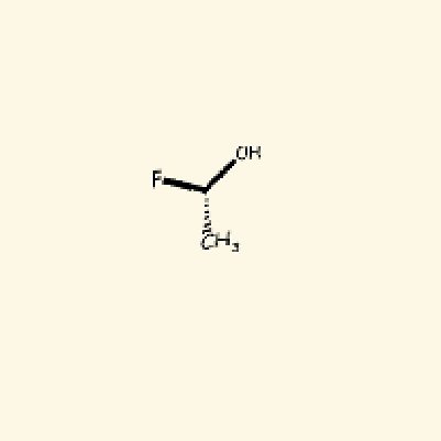 C[C@@H](O)F